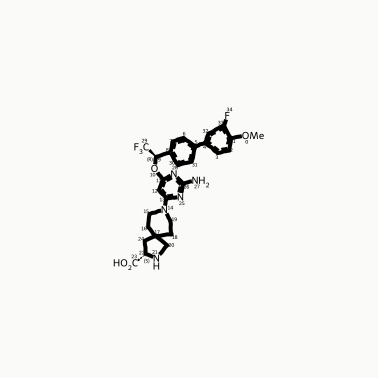 COc1ccc(-c2ccc([C@@H](Oc3cc(N4CCC5(CC4)CN[C@H](C(=O)O)C5)nc(N)n3)C(F)(F)F)cc2)cc1F